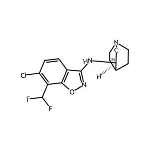 FC(F)c1c(Cl)ccc2c(N[C@H]3CN4CCC3CC4)noc12